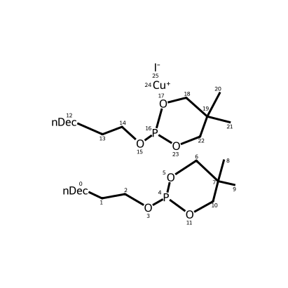 CCCCCCCCCCCCOP1OCC(C)(C)CO1.CCCCCCCCCCCCOP1OCC(C)(C)CO1.[Cu+].[I-]